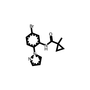 CC1(C(=O)Nc2cc(Br)ccc2-n2cccn2)CC1